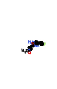 CC(=O)N1CCC(C=CC(=O)Nc2cc(-c3ccc(F)cc3)ccc2N)CC1